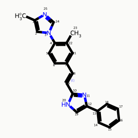 Cc1cn(-c2ccc(/C=C/c3nc(-c4ccccc4)c[nH]3)cc2C)cn1